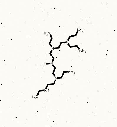 CCNCCN(CCN)CCN(Cl)CCN(CCN)CCN(CCN)CCN